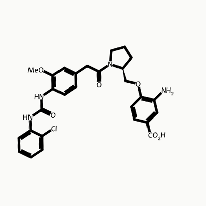 COc1cc(CC(=O)N2CCC[C@H]2COc2ccc(C(=O)O)cc2N)ccc1NC(=O)Nc1ccccc1Cl